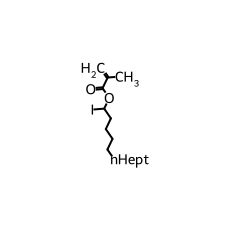 C=C(C)C(=O)OC(I)CCCCCCCCCCC